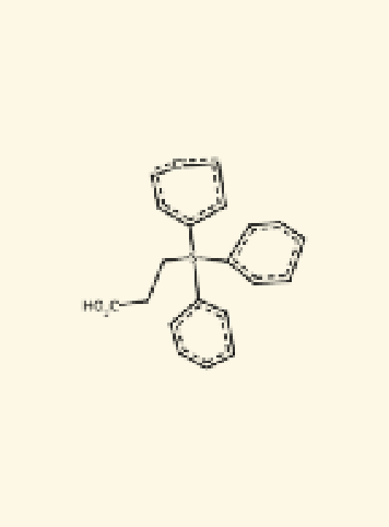 O=C(O)CCS(c1ccccc1)(c1ccccc1)c1ccccc1